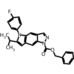 CC(C)c1cc2cc3c(cnn3C(=O)OCc3ccccc3)cc2n1-c1ccc(F)cc1